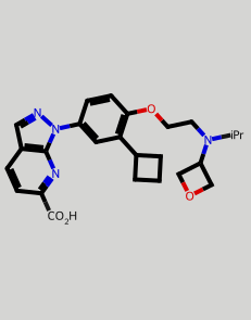 CC(C)N(CCOc1ccc(-n2ncc3ccc(C(=O)O)nc32)cc1C1CCC1)C1COC1